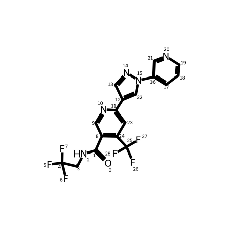 O=C(NCC(F)(F)F)c1cnc(-c2cnn(-c3cccnc3)c2)cc1C(F)(F)F